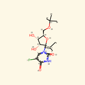 C[SiH](C)[C@@]1(n2cc(F)c(=O)[nH]c2=O)O[C@H](COC(C)(C)C)[C@@H](O)[C@H]1O